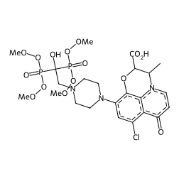 COOP(=O)(OOC)C(O)(CN1CCN(c2cc(Cl)c3c(=O)ccn4c3c2OC(C(=O)O)C4C)CC1)P(=O)(OOC)OOC